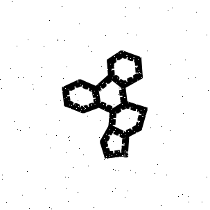 c1ccc2c(c1)c1ccccc1c1c3ccsc3ccc21